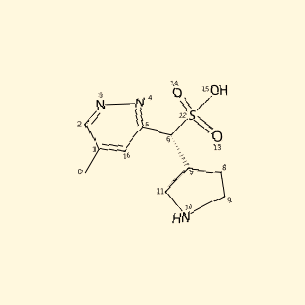 Cc1cnnc([C@@H](C2CCNC2)S(=O)(=O)O)c1